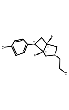 ClCCN1C[C@H]2C[C@H](c3ccc(Cl)cc3)[C@H]2C1